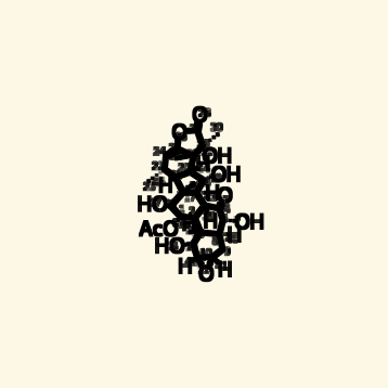 CC(=O)O[C@H]1[C@H]2[C@@H](C(=O)[C@H](O)[C@H]3C[C@@H]4O[C@@H]4[C@H](O)[C@]23C)[C@@H]2[C@@H](O)[C@@H]3[C@H]([C@H](C)C=C4OC(=O)[C@@](C)(O)[C@@]43C)[C@@]2(C)[C@H]1O